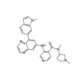 CN1CCC(N(C)C(=O)c2ccncc2Nc2cc(-c3ccc4ccn(C)c4c3)c3nccnc3c2)C1